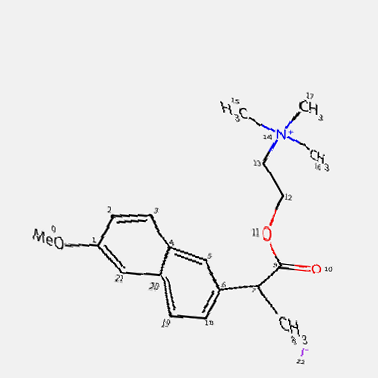 COc1ccc2cc(C(C)C(=O)OCC[N+](C)(C)C)ccc2c1.[I-]